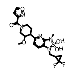 COC1CN(C(=O)c2ccon2)CCC1c1ccc2c(n1)N(C)S(O)(O)N2CC1CC1(F)F